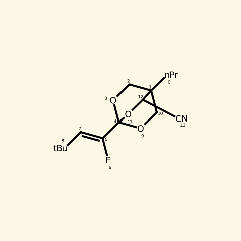 CCCC12COC(/C(F)=C/C(C)(C)C)(OC1)OC2C#N